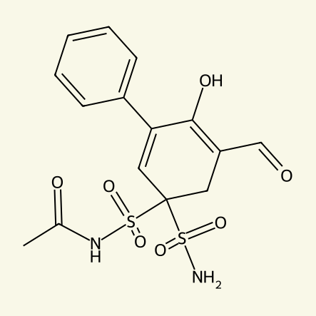 CC(=O)NS(=O)(=O)C1(S(N)(=O)=O)C=C(c2ccccc2)C(O)=C(C=O)C1